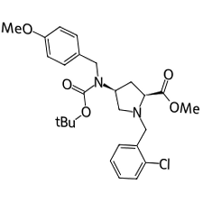 COC(=O)[C@@H]1C[C@H](N(Cc2ccc(OC)cc2)C(=O)OC(C)(C)C)CN1Cc1ccccc1Cl